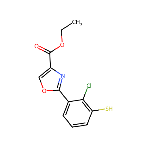 CCOC(=O)c1coc(-c2cccc(S)c2Cl)n1